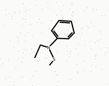 CCN(SC)c1ccccc1